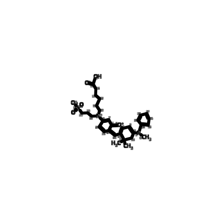 CN(C1=Cc2[o+]c3cc(N(CCCCCC(=O)O)CCCS(=O)(=O)[O-])ccc3cc2C(C)(C)C1)c1ccccc1